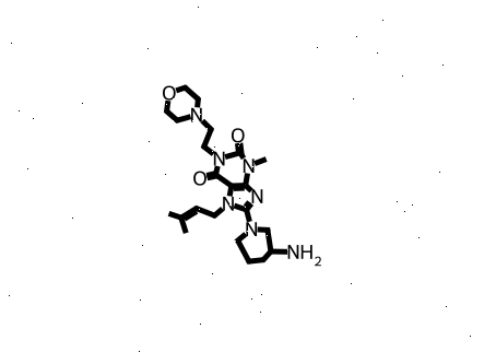 CC(C)=CCn1c(N2CCCC(N)C2)nc2c1c(=O)n(CCN1CCOCC1)c(=O)n2C